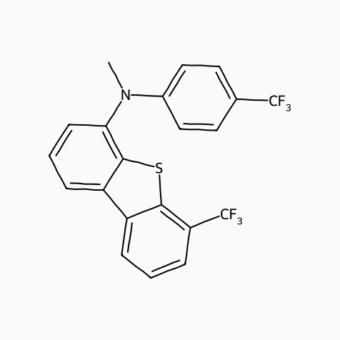 CN(c1ccc(C(F)(F)F)cc1)c1cccc2c1sc1c(C(F)(F)F)cccc12